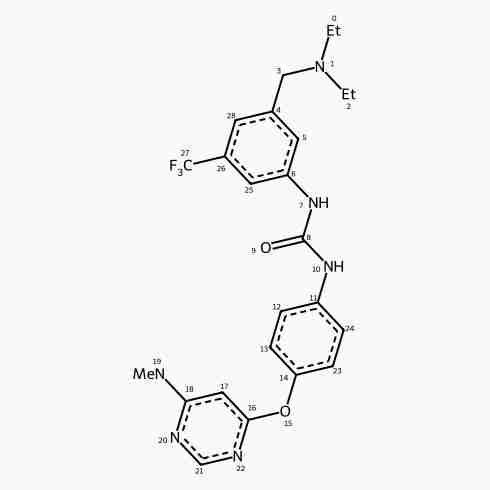 CCN(CC)Cc1cc(NC(=O)Nc2ccc(Oc3cc(NC)ncn3)cc2)cc(C(F)(F)F)c1